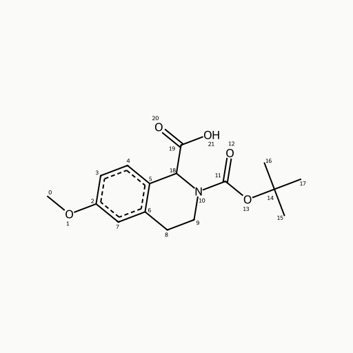 COc1ccc2c(c1)CCN(C(=O)OC(C)(C)C)C2C(=O)O